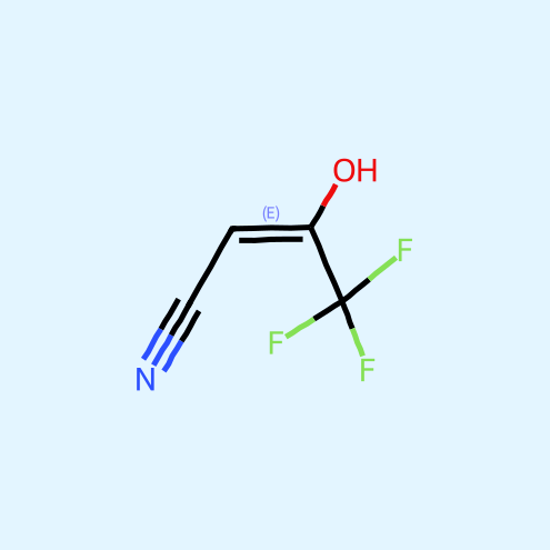 N#C/C=C(/O)C(F)(F)F